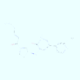 CNC/C=C/C(=O)N1CC[C@H](Nc2cc(-c3ccnc(OC)c3)c[nH]c2=O)C1